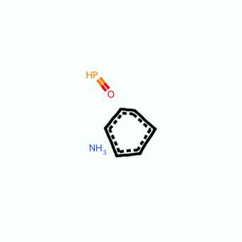 N.O=P.c1ccccc1